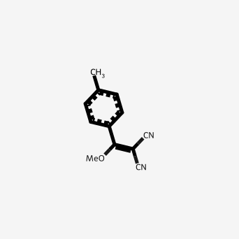 COC(=C(C#N)C#N)c1ccc(C)cc1